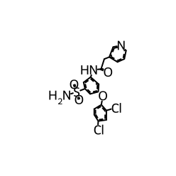 NS(=O)(=O)c1cc(NC(=O)Cc2cccnc2)cc(Oc2ccc(Cl)cc2Cl)c1